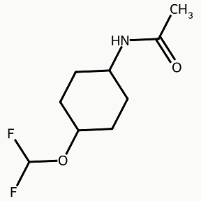 CC(=O)NC1CCC(OC(F)F)CC1